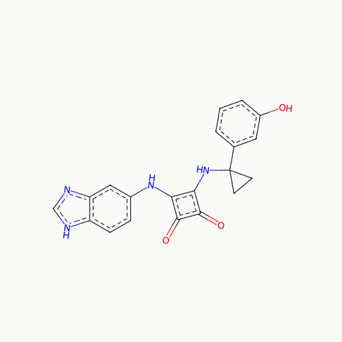 O=c1c(Nc2ccc3[nH]cnc3c2)c(NC2(c3cccc(O)c3)CC2)c1=O